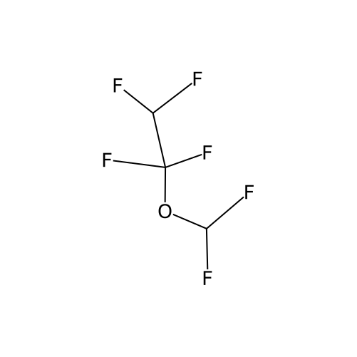 FC(F)OC(F)(F)C(F)F